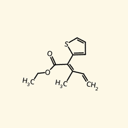 C=C/C(C)=C(/C(=O)OCC)c1cccs1